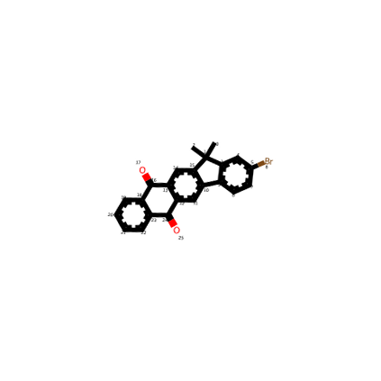 CC1(C)c2cc(Br)ccc2-c2cc3c(cc21)C(=O)c1ccccc1C3=O